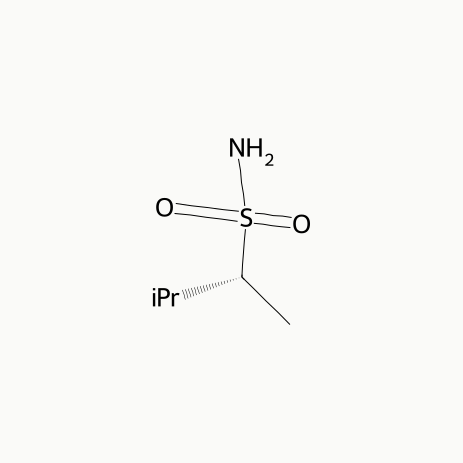 CC(C)[C@@H](C)S(N)(=O)=O